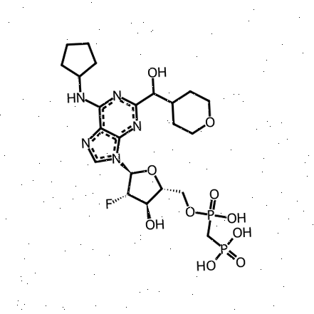 O=P(O)(O)CP(=O)(O)OC[C@H]1O[C@H](n2cnc3c(NC4CCCC4)nc(C(O)C4CCOCC4)nc32)[C@@H](F)[C@@H]1O